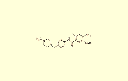 COc1cc(C(=O)Nc2ccc(CN3CCN(C)CC3)cc2)c(F)cc1N